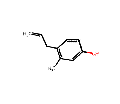 C=CCc1c[c]c(O)cc1C